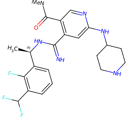 CNC(=O)c1cnc(NC2CCNCC2)cc1C(=N)N[C@H](C)c1cccc(C(F)F)c1F